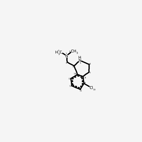 CN(C)CC1NCCc2c(Cl)cccc21